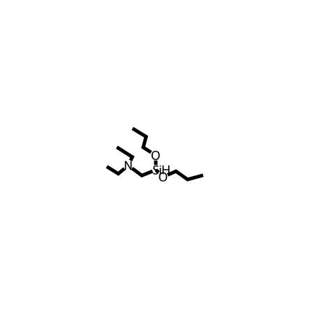 CCCO[SiH](CN(CC)CC)OCCC